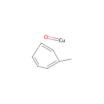 Cc1ccccc1.[O]=[Cu]